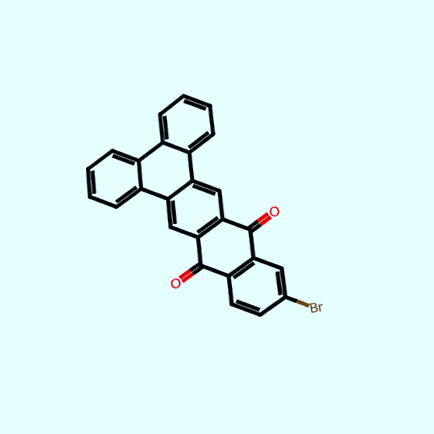 O=C1c2ccc(Br)cc2C(=O)c2cc3c4ccccc4c4ccccc4c3cc21